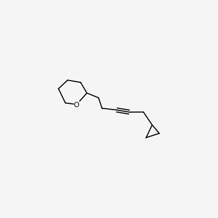 C(#CCC1CC1)CCC1CCCCO1